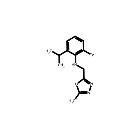 Cc1nnc(CNc2c(Br)cccc2C(C)C)o1